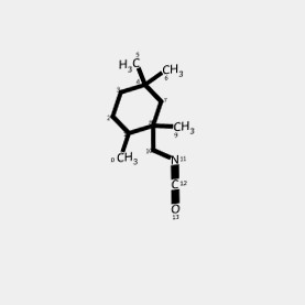 CC1CCC(C)(C)CC1(C)CN=C=O